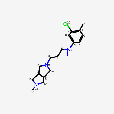 Cc1ccc(NCCCN2CC3CN(C)CC3C2)cc1Cl